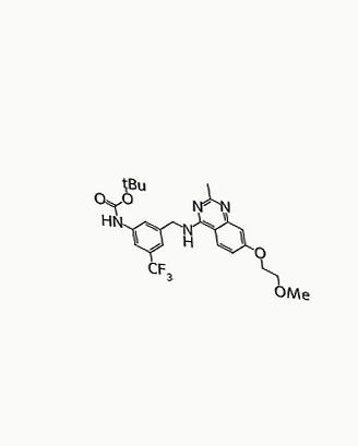 COCCOc1ccc2c(NCc3cc(NC(=O)OC(C)(C)C)cc(C(F)(F)F)c3)nc(C)nc2c1